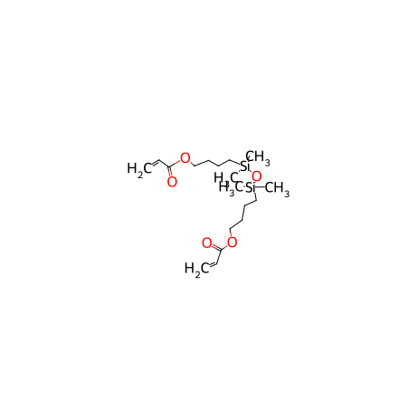 C=CC(=O)OCCCC[Si](C)(C)O[Si](C)(C)CCCCOC(=O)C=C